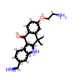 CC1(C)c2cc(OCCN)ccc2C(=O)c2c1[nH]c1cc(C=N)ccc21